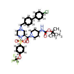 CC(C)(C)OC(=O)NC1CCN(C(=O)[C@@H]2CN(Cc3ccc(-c4ccc(Cl)cc4)cc3)CCN2S(=O)(=O)c2ccc(OC(F)(F)F)cc2)CC1